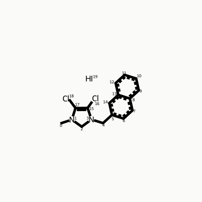 CN1CN(Cc2ccc3ccccc3c2)C(Cl)=C1Cl.I